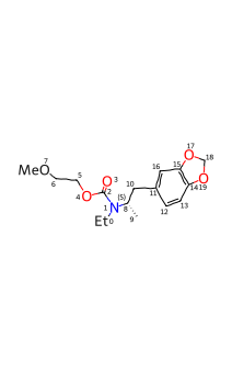 CCN(C(=O)OCCOC)[C@@H](C)Cc1ccc2c(c1)OCO2